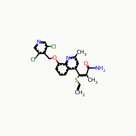 C=CS/C(=C(\C)C(N)=O)c1cc(C)nc2c(OCc3c(Cl)cncc3Cl)cccc12